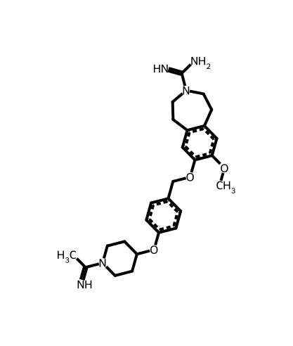 COc1cc2c(cc1OCc1ccc(OC3CCN(C(C)=N)CC3)cc1)CCN(C(=N)N)CC2